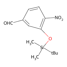 CC(C)(C)[Si](C)(C)Oc1cc(C=O)ccc1[N+](=O)[O-]